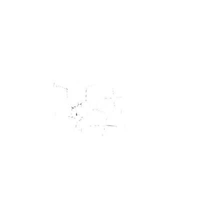 C=C(OC(N)=O)C(CC)[Si](O[Si](C)(C)C)(O[Si](C)(C)C)O[Si](C)(C)C